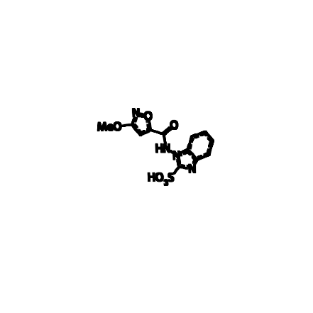 COc1cc(C(=O)Nn2c(S(=O)(=O)O)nc3ccccc32)on1